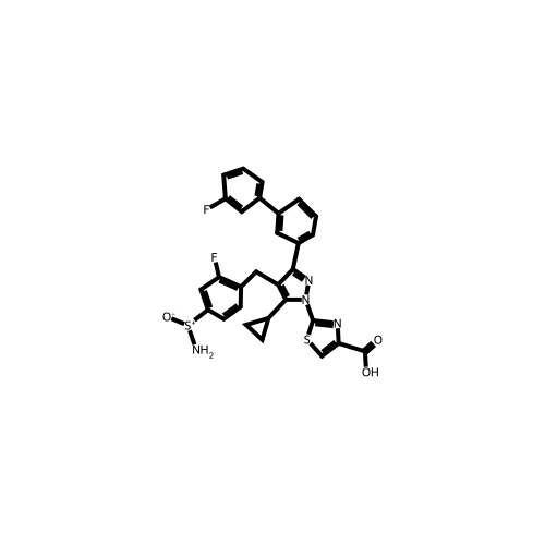 N[S+]([O-])c1ccc(Cc2c(-c3cccc(-c4cccc(F)c4)c3)nn(-c3nc(C(=O)O)cs3)c2C2CC2)c(F)c1